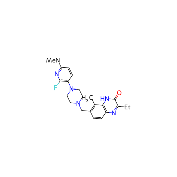 CCc1nc2ccc(CN3CCN(c4ccc(NC)nc4F)CC3)c(C)c2[nH]c1=O